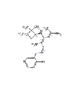 C\C(N)=N/C(N[C@H]1C[C@@H](C)C1(C)C)=C(N)\C=N/Cc1cncnc1C(C)C